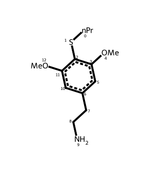 CCCSc1c(OC)cc(CCN)cc1OC